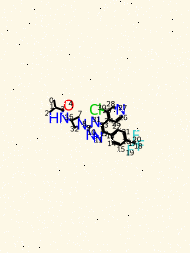 CC(C)C(=O)NC1CN(c2nnc(-c3ccc(C(F)(F)F)cc3)c(-c3ccncc3Cl)n2)C1